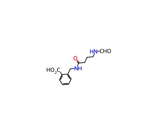 O=CNCCCC(=O)NCc1ccccc1C(=O)O